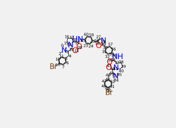 CN(C)C(Cc1ccc(Br)cc1)C(=O)N1CCCC1C(=O)Nc1ccc(-c2cnc(-c3ccc(NC(=O)C4CCCN4C(=O)C(Cc4ccc(Br)cc4)N(C)C)cc3)o2)cc1